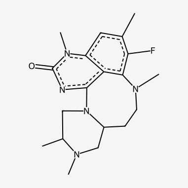 Cc1cc2c3c(nc(=O)n2C)N2CC(C)N(C)CC2CCN(C)c3c1F